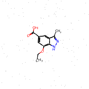 CCOc1cc(C(=O)O)cc2c(C)n[nH]c12